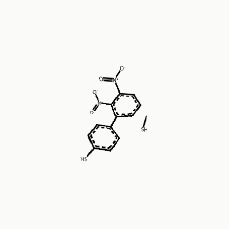 CS.O=[N+]([O-])c1cccc(-c2ccc(S)cc2)c1[N+](=O)[O-]